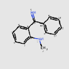 CNc1ccccc1C(=N)c1ccccc1